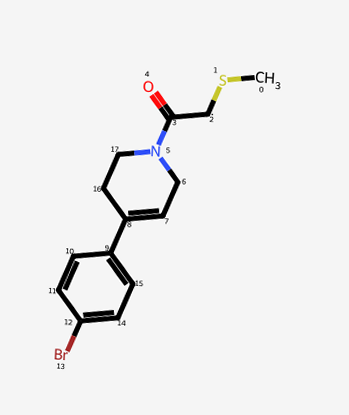 CS[CH]C(=O)N1CC=C(c2ccc(Br)cc2)CC1